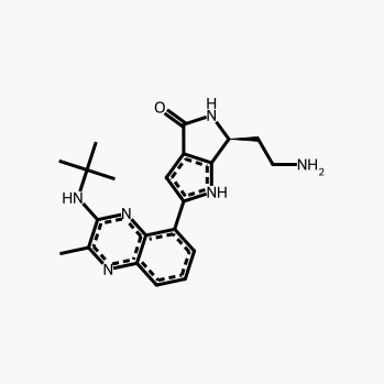 Cc1nc2cccc(-c3cc4c([nH]3)[C@H](CCN)NC4=O)c2nc1NC(C)(C)C